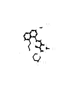 CCOC(=O)CCCc1c(F)ccc2cc(OCOC)cc(-c3ncc4c(N5CCC[C@@](C)(N)C5)nc(C)nc4c3F)c12